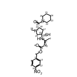 CC(=NC(=O)OCc1ccc([N+](=O)[O-])cc1)N[C@]1(S)C[C@@H](C(=O)N2CCCCC2)N(C)C1